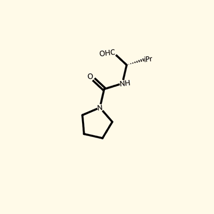 CC(C)[C@@H](C=O)NC(=O)N1CCCC1